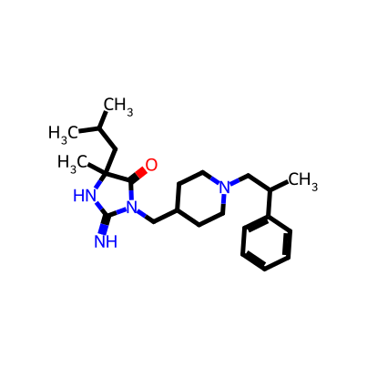 CC(C)CC1(C)NC(=N)N(CC2CCN(CC(C)c3ccccc3)CC2)C1=O